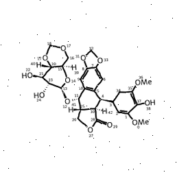 COC1=CC([C@@H]2c3cc4c(cc3[C@@H](O[C@@H]3O[C@@H]5COCO[C@H]5[C@H](O)[C@H]3O)[C@H]3COC(=O)[C@@H]32)OCO4)CC(OC)=C1O